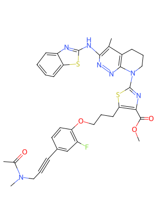 COC(=O)c1nc(N2CCCc3c2nnc(Nc2nc4ccccc4s2)c3C)sc1CCCOc1ccc(C#CCN(C)C(C)=O)cc1F